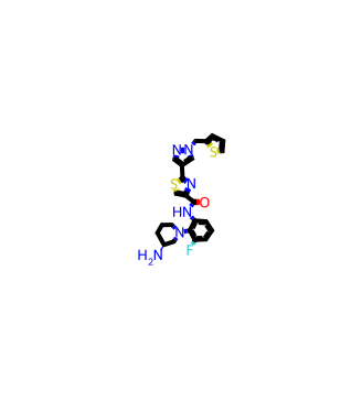 N[C@@H]1CCCN(c2c(F)cccc2NC(=O)c2csc(-c3cnn(Cc4cccs4)c3)n2)C1